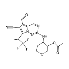 CC(=O)OC1COCCC1Nc1ncc2c(C=O)c(C#N)c(C(C)C(F)(F)F)n2n1